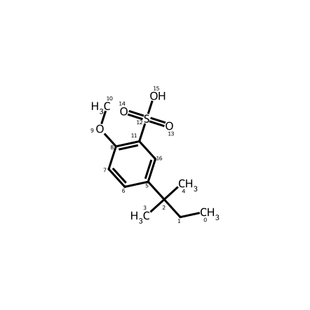 CCC(C)(C)c1ccc(OC)c(S(=O)(=O)O)c1